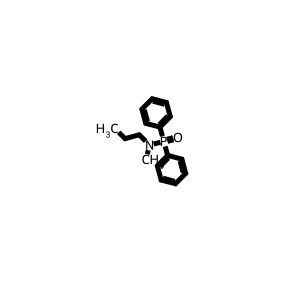 CCCN(C)P(=O)(c1ccccc1)c1ccccc1